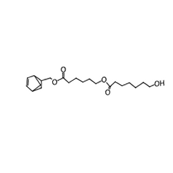 O=C(CCCCCCO)OCCCCCC(=O)OCC1CC2C=CC1C2